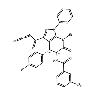 CCN1C(=O)[C@H](NC(=O)c2cccc(C(F)(F)F)c2)[C@H](c2ccc(F)cc2)c2c(C(=O)N=[N+]=[N-])nn(-c3ccccc3)c21